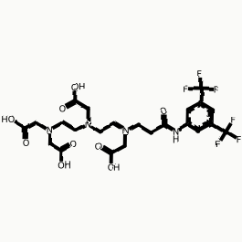 O=C(O)CN(CCC(=O)Nc1cc(C(F)(F)F)cc(C(F)(F)F)c1)CCN(CCN(CC(=O)O)CC(=O)O)CC(=O)O